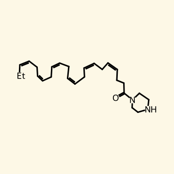 CC/C=C\C/C=C\C/C=C\C/C=C\C/C=C\C/C=C\CCC(=O)N1CCNCC1